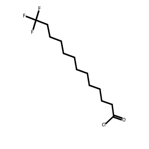 O=C(Cl)CCCCCCCCCCCC(F)(F)F